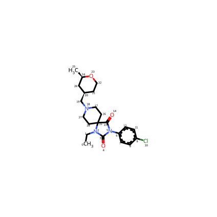 CCN1C(=O)N(c2ccc(Cl)cc2)C(=O)C12CCN(C[C@@H]1CCO[C@H](C)C1)CC2